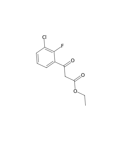 CCOC(=O)CC(=O)c1cccc(Cl)c1F